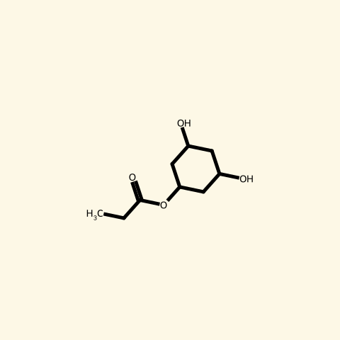 CCC(=O)OC1CC(O)CC(O)C1